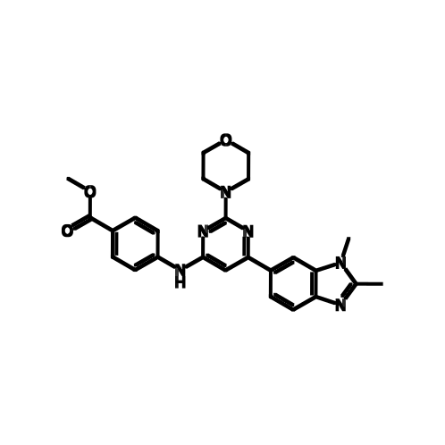 COC(=O)c1ccc(Nc2cc(-c3ccc4nc(C)n(C)c4c3)nc(N3CCOCC3)n2)cc1